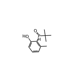 Cc1cccc(O)c1[PH](=O)C(C)(C)C